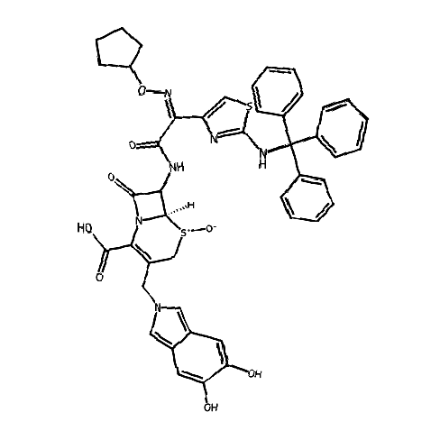 O=C(O)C1=C(Cn2cc3cc(O)c(O)cc3c2)C[S+]([O-])[C@@H]2C(NC(=O)/C(=N\OC3CCCC3)c3csc(NC(c4ccccc4)(c4ccccc4)c4ccccc4)n3)C(=O)N12